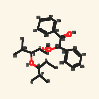 CCC(OC(CC)C(C)C)C(C)C.O=C(c1ccccc1)C(O)c1ccccc1